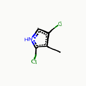 Cc1c(Cl)[c][nH]c1Cl